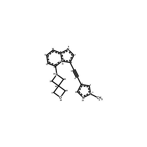 Cn1cc(C#Cc2cnc3cccc(N4CC5(COC5)C4)n23)cn1